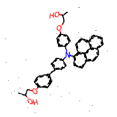 CC(O)COc1ccc(-c2ccc(N(c3ccc(OCC(C)O)cc3)c3ccc4ccc5cccc6ccc3c4c56)cc2)cc1